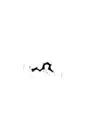 CCC(=O)CCc1cccc(CO)n1